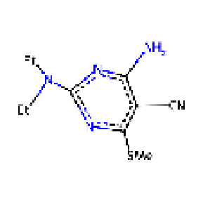 CCN(CC)c1nc(N)c(C#N)c(SC)n1